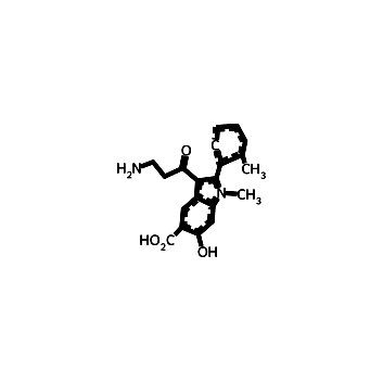 Cc1ccccc1-c1c(C(=O)CCN)c2cc(C(=O)O)c(O)cc2n1C